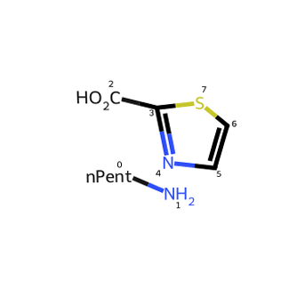 CCCCCN.O=C(O)c1nccs1